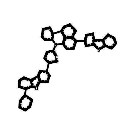 c1ccc(-c2ccccc2N(c2ccc(-c3ccc4c(c3)sc3ccccc34)cc2)c2ccc(-c3ccc4oc5c(-c6ccccc6)cccc5c4c3)cc2)cc1